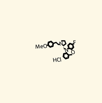 COc1ccc(CCN2CCC[C@@H]2CN2c3ccccc3COc3cc(F)ccc32)cc1.Cl